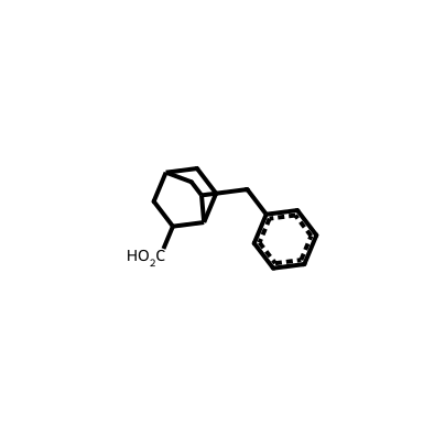 O=C(O)C1CC2CCC1C(Cc1ccccc1)C2